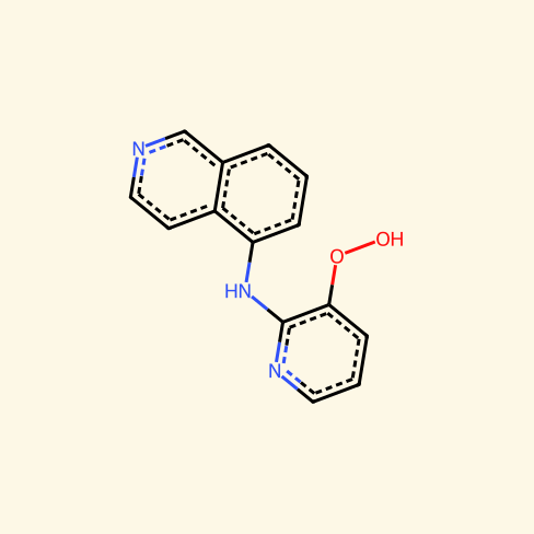 OOc1cccnc1Nc1cccc2cnccc12